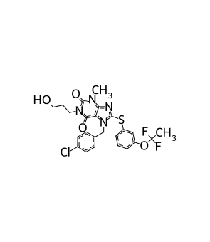 Cn1c(=O)n(CCCO)c(=O)c2c1nc(Sc1cccc(OC(C)(F)F)c1)n2Cc1ccc(Cl)cc1